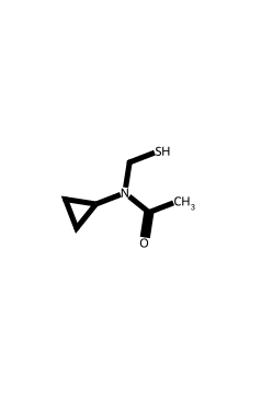 CC(=O)N(CS)C1CC1